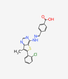 Cc1c(-c2ccccc2Cl)sc2c(NN=Cc3ccc(C(=O)O)cc3)ncnc12